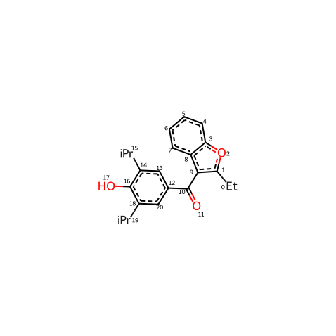 CCc1oc2ccccc2c1C(=O)c1cc(C(C)C)c(O)c(C(C)C)c1